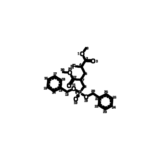 COC(=O)C(F)CC(CP(=O)(OCc1ccccc1)OCc1ccccc1)C(=O)OC